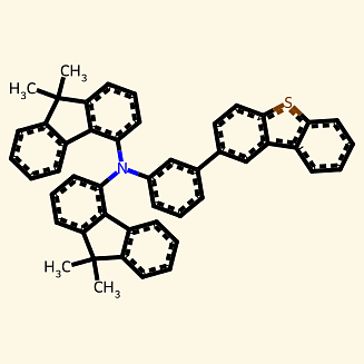 CC1(C)c2ccccc2-c2c(N(c3cccc(-c4ccc5sc6ccccc6c5c4)c3)c3cccc4c3-c3ccccc3C4(C)C)cccc21